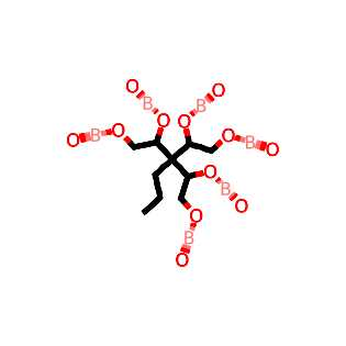 CCCC(C(COB=O)OB=O)(C(COB=O)OB=O)C(COB=O)OB=O